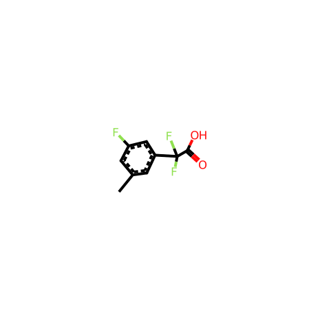 Cc1cc(F)cc(C(F)(F)C(=O)O)c1